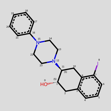 O[C@H]1Cc2cccc(I)c2C[C@@H]1N1CCN(c2ccccc2)CC1